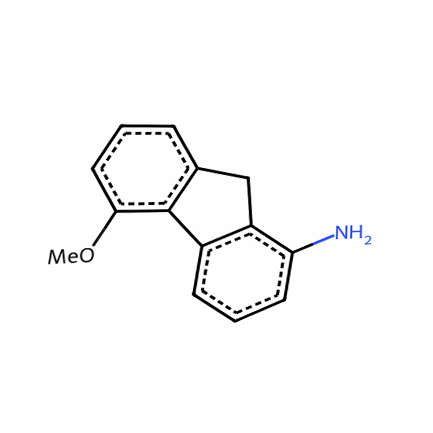 COc1cccc2c1-c1cccc(N)c1C2